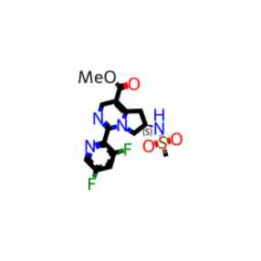 COC(=O)C1=C2C[C@H](NS(C)(=O)=O)CN2C(c2ncc(F)cc2F)=NC1